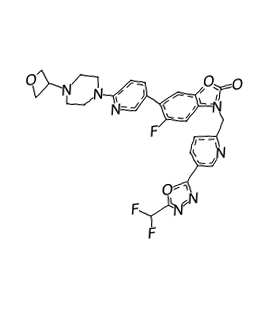 O=c1oc2cc(-c3ccc(N4CCN(C5COC5)CC4)nc3)c(F)cc2n1Cc1ccc(-c2nnc(C(F)F)o2)cn1